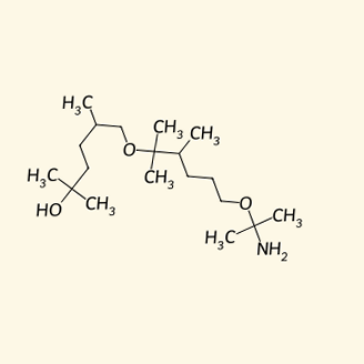 CC(CCC(C)(C)O)COC(C)(C)C(C)CCCOC(C)(C)N